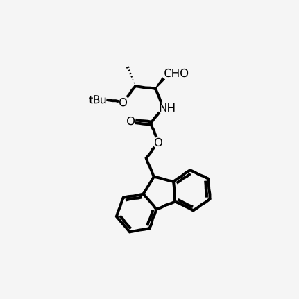 C[C@@H](OC(C)(C)C)[C@@H](C=O)NC(=O)OCC1c2ccccc2-c2ccccc21